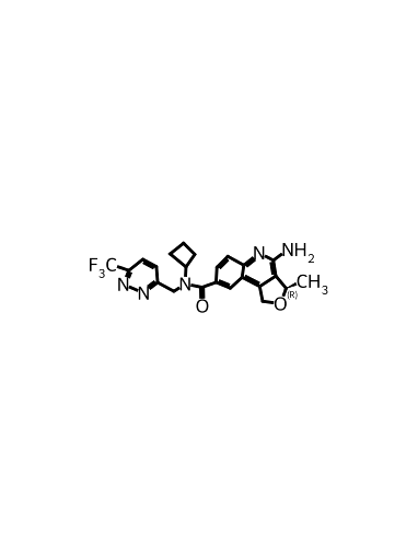 C[C@H]1OCc2c1c(N)nc1ccc(C(=O)N(Cc3ccc(C(F)(F)F)nn3)C3CCC3)cc21